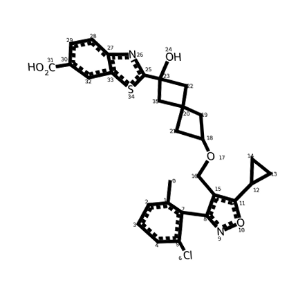 Cc1cccc(Cl)c1-c1noc(C2CC2)c1COC1CC2(C1)CC(O)(c1nc3ccc(C(=O)O)cc3s1)C2